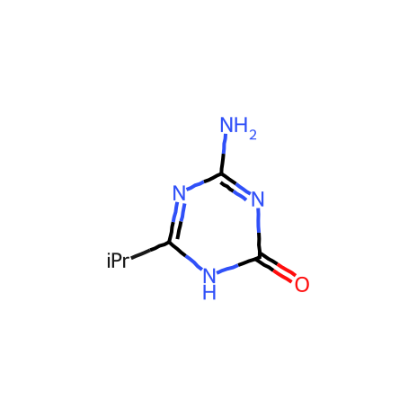 CC(C)c1nc(N)nc(=O)[nH]1